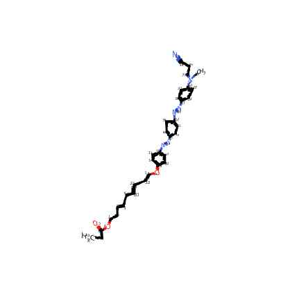 CCC(=O)OCCCCCCCCCOc1ccc(N=Nc2ccc(N=Nc3ccc(N(C)CCC#N)cc3)cc2)cc1